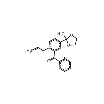 C=CCc1ccc(C2(C)OCCO2)cc1C(=O)c1ccccn1